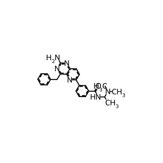 CC(NC(=O)c1cccc(-c2ccc3nc(N)nc(Cc4ccccc4)c3n2)c1)N(C)C